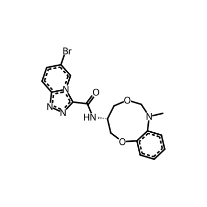 CN1COC[C@@H](NC(=O)c2nnc3ccc(Br)cn23)COc2ccccc21